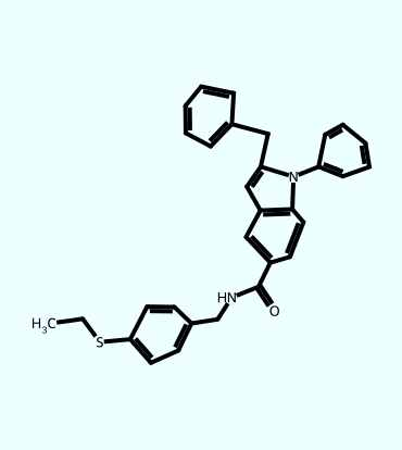 CCSc1ccc(CNC(=O)c2ccc3c(c2)cc(Cc2ccccc2)n3-c2ccccc2)cc1